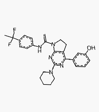 C=C(Nc1ccc(C(C)(F)F)cc1)N1CCc2c(-c3cccc(O)c3)nc(N3CCCCC3)nc21